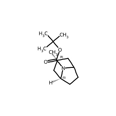 C[C@@H]1CC2CC[C@@H](C1)N2C(=O)OC(C)(C)C